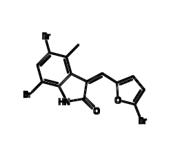 Cc1c(Br)cc(Br)c2c1C(=Cc1ccc(Br)o1)C(=O)N2